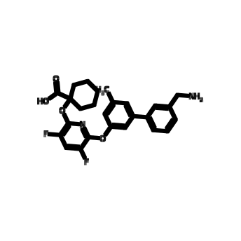 Cc1cc(Oc2nc(OC3(C(=O)O)CCCCC3)c(F)cc2F)cc(-c2cccc(CN)c2)c1